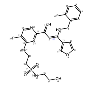 N=C(/C=C(\NCc1ccccc1F)c1ccon1)c1ncc(F)c(NCCS(=O)(=O)NCCO)n1